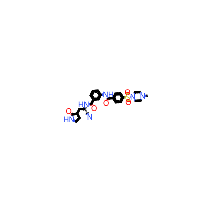 CN1CCN(S(=O)(=O)c2ccc(C(=O)Nc3cccc(C(=O)N[C@H](C#N)CC4CCNC4=O)c3)cc2)CC1